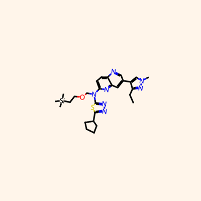 CCc1nn(C)cc1-c1cnc2ccc(N(COCC[Si](C)(C)C)c3nnc(C4CCCC4)s3)nc2c1